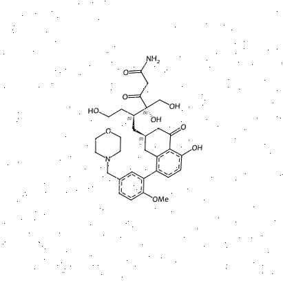 COc1ccc(CN2CCOCC2)cc1-c1ccc(O)c2c1C[C@@H](C[C@@H](CCO)[C@](O)(CO)C(=O)CC(N)=O)CC2=O